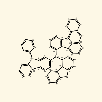 c1ccc(-n2c3ccccc3c3ccc(N(c4cccc5c4-c4cccc6cc7ccccc7c-5c46)c4cccc5sc6ccccc6c45)cc32)cc1